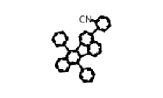 [C-]#[N+]c1ccccc1-c1ccc2c3c(cccc13)-c1c-2c(-c2ccccc2)c2ccccc2c1-c1ccccc1